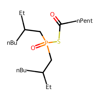 CCCCCC(=O)SP(=O)(CC(CC)CCCC)CC(CC)CCCC